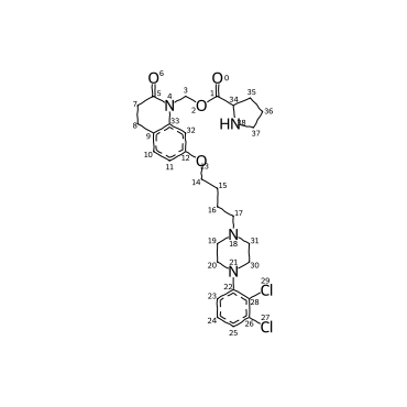 O=C(OCN1C(=O)CCc2ccc(OCCCCN3CCN(c4cccc(Cl)c4Cl)CC3)cc21)C1CCCN1